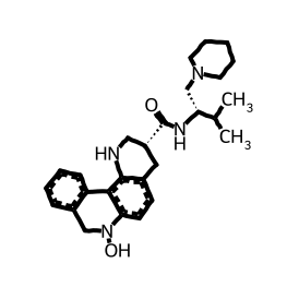 CC(C)[C@@H](CN1CCCCC1)NC(=O)[C@H]1CNc2c(ccc3c2-c2ccccc2CN3O)C1